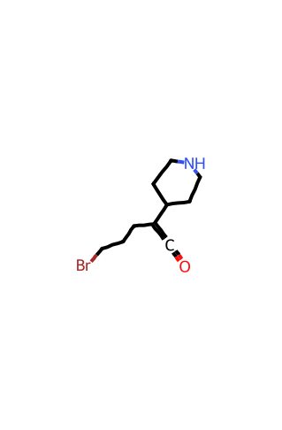 O=C=C(CCCBr)C1CCNCC1